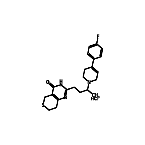 CC(CCc1nc2c(c(=O)[nH]1)CSCC2)N1CC=C(c2ccc(F)cc2)CC1.Cl